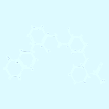 Cc1ccc(CN2CCCC[C@H]2C(=O)O)cc1OCc1cccc(-c2ccc3c(c2)OCCO3)c1C